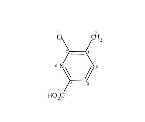 Cc1ccc(C(=O)O)nc1Cl